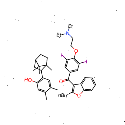 CCCCc1oc2ccccc2c1C(=O)c1cc(I)c(OCCN(CC)CC)c(I)c1.Cc1cc(O)c(C2CC3CCC2(C)C3(C)C)cc1C